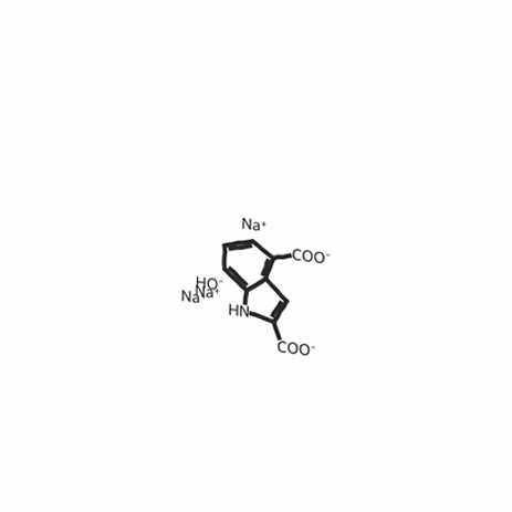 O=C([O-])c1cc2c(C(=O)[O-])cccc2[nH]1.[Na+].[Na+].[Na+].[OH-]